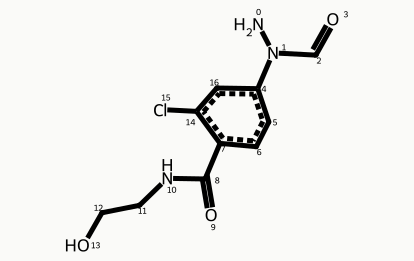 NN(C=O)c1ccc(C(=O)NCCO)c(Cl)c1